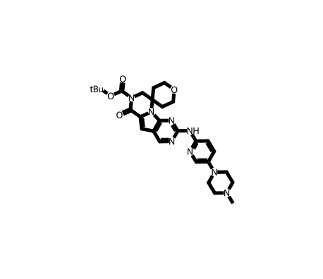 CN1CCN(c2ccc(Nc3ncc4cc5n(c4n3)C3(CCOCC3)CN(C(=O)OC(C)(C)C)C5=O)nc2)CC1